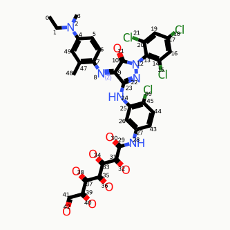 CCN(C)c1ccc(/N=C2\C(=O)N(c3c(Cl)cc(Cl)cc3Cl)N=C2Nc2cc(NC(=O)C(=O)C(=O)C(=O)C(=O)C(=O)C=O)ccc2Cl)c(C)c1